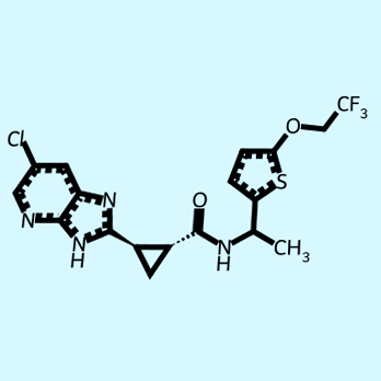 CC(NC(=O)[C@@H]1C[C@H]1c1nc2cc(Cl)cnc2[nH]1)c1ccc(OCC(F)(F)F)s1